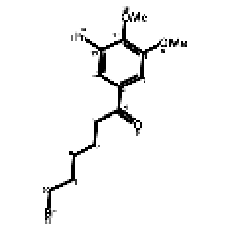 COc1cc(C(=O)CCCCCBr)cc(C(C)C)c1OC